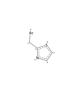 CC(=O)Cc1nccs1